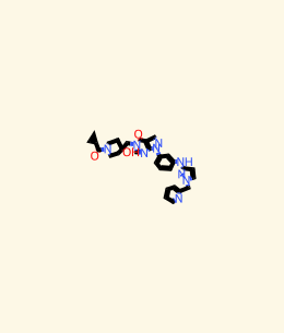 O=C(C1CC1)N1CCC(O)(Cn2cnc3c(cnn3-c3cccc(Nc4ccn(Cc5ccccn5)n4)c3)c2=O)CC1